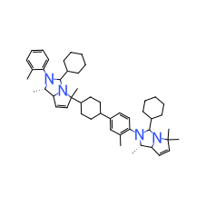 Cc1cc(C2CCC(C3(C)C=CC4[C@H](C)N(c5ccccc5C)C(C5CCCCC5)N43)CC2)ccc1N1C(C2CCCCC2)N2C(C=CC2(C)C)[C@@H]1C